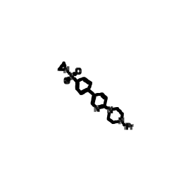 CC(C)N1CCN(c2ccc(-c3ccc(S(=O)(=O)N4CC4)cc3)cn2)CC1